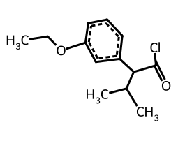 CCOc1cccc(C(C(=O)Cl)C(C)C)c1